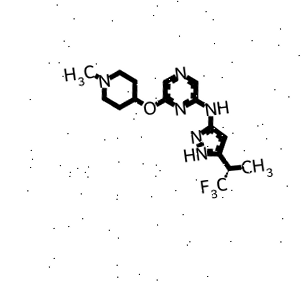 C[C@@H](c1cc(Nc2cncc(OC3CCN(C)CC3)n2)n[nH]1)C(F)(F)F